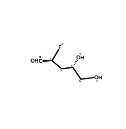 O=C[C@@H](F)C[C@H](O)CO